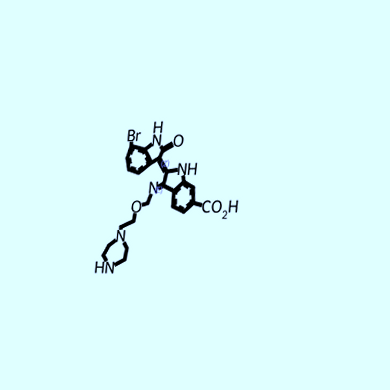 O=C1Nc2c(Br)cccc2/C1=C1/Nc2cc(C(=O)O)ccc2/C1=N\COCCN1CCNCC1